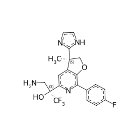 C[C@]1(c2ncc[nH]2)COc2c1cc([C@@](O)(CN)C(F)(F)F)nc2-c1ccc(F)cc1